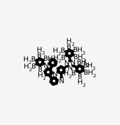 Bc1c(B)c(B)c(-c2nc(-c3ccc(-n4c5ccccc5c5ccc6c(c7ccccc7n6-c6c(B)c(B)c(B)c(B)c6B)c54)c(C#N)c3)nc(-c3c(B)c(B)c(B)c(B)c3B)n2)c(B)c1B